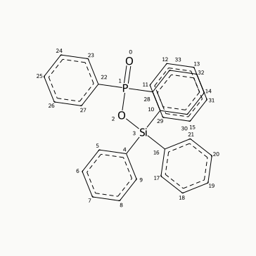 O=P(O[Si](c1ccccc1)(c1ccccc1)c1ccccc1)(c1ccccc1)c1ccccc1